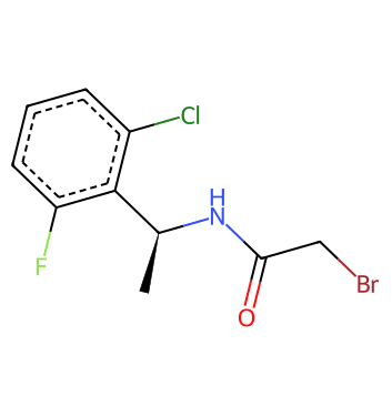 C[C@H](NC(=O)CBr)c1c(F)cccc1Cl